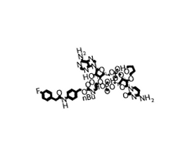 CCCCN(CC(=O)O[C@H]1[C@@H](O)[C@H](n2cnc3c(N)ncnc32)O[C@@H]1COP(=O)(O)O[C@H]1[C@@H](OC2CCCO2)[C@H](n2ccc(N)nc2=O)O[C@@H]1COP(=O)(O)O)C(=O)OCc1ccc(NC(=O)Cc2ccc(F)cc2)cc1